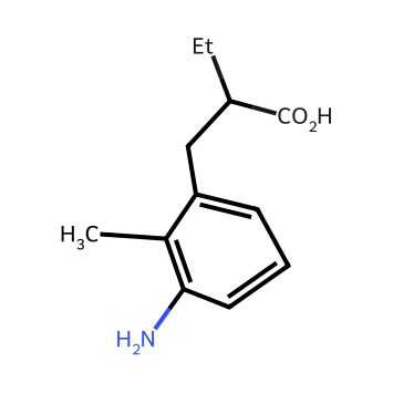 CCC(Cc1cccc(N)c1C)C(=O)O